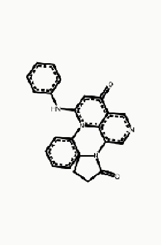 O=C1CCCN1c1cncc2c(=O)cc(Nc3ccccc3)n(-c3ccccc3)c12